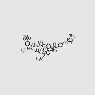 CCN1/C(=C/C=C/C=C/C2=[N+](CC)c3ccc(C)cc3C2(C)C)C(C)(CCCC(=O)NCc2ccc(C(=O)NCc3ccc(COc4nccc(N)n4)cc3)cc2)c2cc(S(=O)(=O)O)ccc21